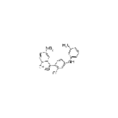 Cc1cccc(Nc2ccc(C(=O)c3cc([N+](=O)[O-])ccc3C)c(Cl)c2)c1